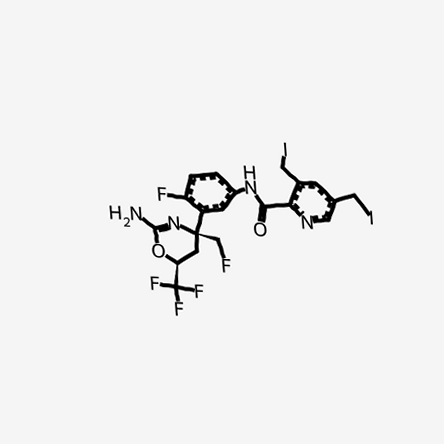 NC1=N[C@](CF)(c2cc(NC(=O)c3ncc(CI)cc3CI)ccc2F)C[C@@H](C(F)(F)F)O1